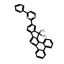 CC1(C)c2cc(-c3nccc(-c4ccccc4)n3)ccc2-c2ccc3c4ccccc4c4ccccc4c3c21